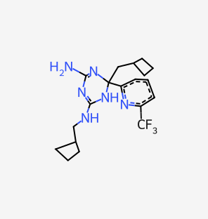 NC1=NC(CC2CCC2)(c2cccc(C(F)(F)F)n2)NC(NCC2CCC2)=N1